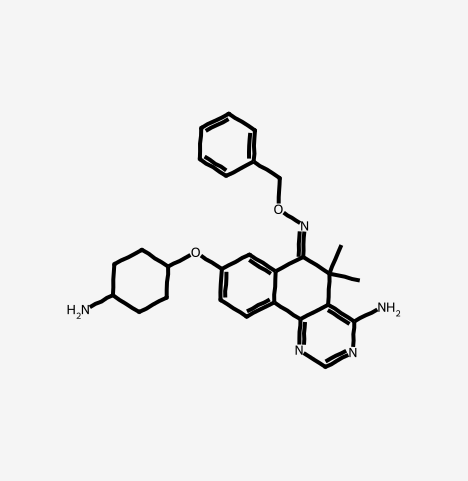 CC1(C)/C(=N/OCc2ccccc2)c2cc(OC3CCC(N)CC3)ccc2-c2ncnc(N)c21